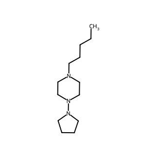 CCCCCN1CCN(N2CCCC2)CC1